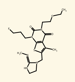 CCOCCn1c(=O)c2c(C)c(CN3CCN/C3=N\C)sc2n(CCCF)c1=O